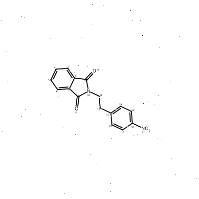 O=C1c2ccccc2C(=O)N1CCc1ccc([N+](=O)[O-])cc1